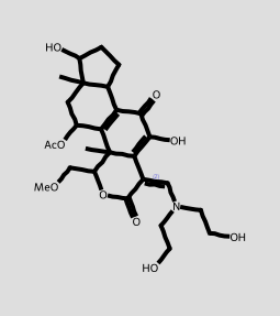 COCC1OC(=O)/C(=C\N(CCO)CCO)C2=C(O)C(=O)C3=C(C(OC(C)=O)CC4(C)C(O)CCC34)C21C